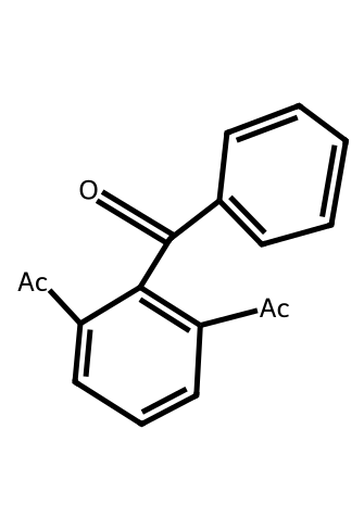 CC(=O)c1cccc(C(C)=O)c1C(=O)c1ccccc1